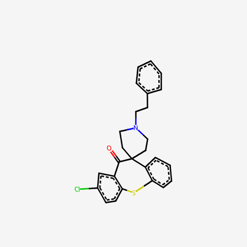 O=C1c2cc(Cl)ccc2Sc2ccccc2C12CCN(CCc1ccccc1)CC2